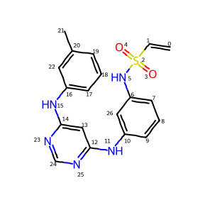 C=CS(=O)(=O)Nc1cccc(Nc2cc(Nc3cccc(C)c3)ncn2)c1